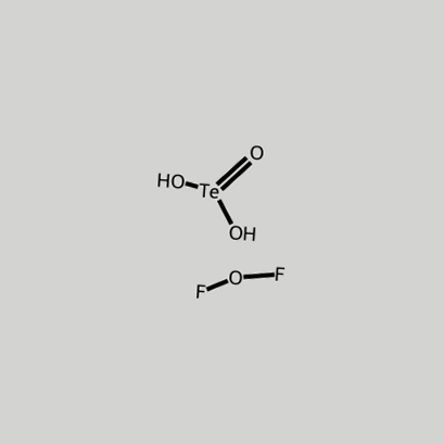 FOF.O=[Te](O)O